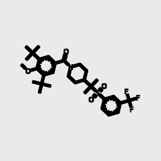 COc1c(C(C)(C)C)cc(C(=O)N2CCC(C(C)(C)S(=O)(=O)c3cccc(C(F)(F)F)c3)CC2)cc1C(C)(C)C